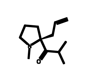 C=CC[C@]1(C(=O)C(C)C)CCCN1C